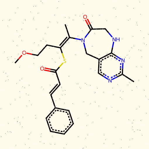 COCC/C(SC(=O)/C=C/c1ccccc1)=C(\C)N1Cc2cnc(C)nc2NCC1=O